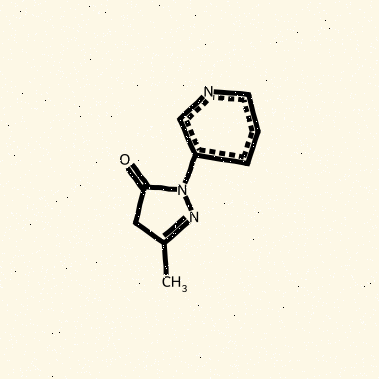 CC1=NN(c2cccnc2)C(=O)C1